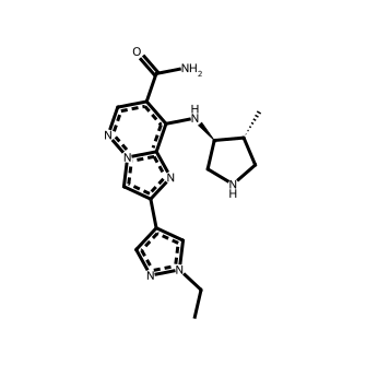 CCn1cc(-c2cn3ncc(C(N)=O)c(N[C@@H]4CNC[C@H]4C)c3n2)cn1